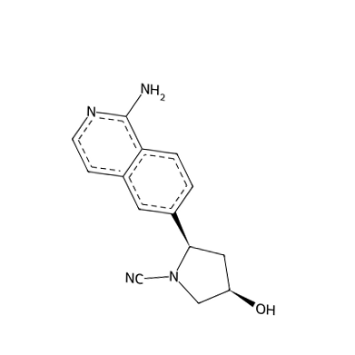 N#CN1C[C@H](O)C[C@@H]1c1ccc2c(N)nccc2c1